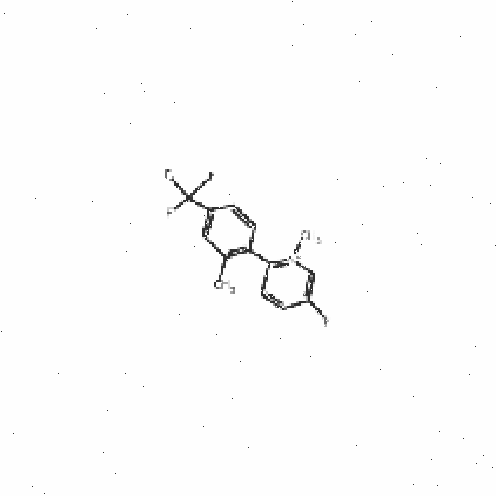 Cc1cc(C(F)(F)F)ccc1-c1ccc(F)c[n+]1C